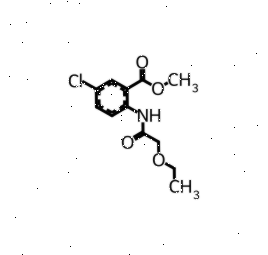 CCOCC(=O)Nc1ccc(Cl)cc1C(=O)OC